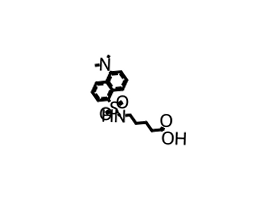 CN(C)c1cccc2c(S(=O)(=O)NCCCCC(=O)O)cccc12